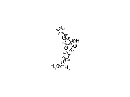 CC(C)COc1ccc(C2CC(=O)c3c(O)cc(OCC4CCCC4)cc3O2)cc1